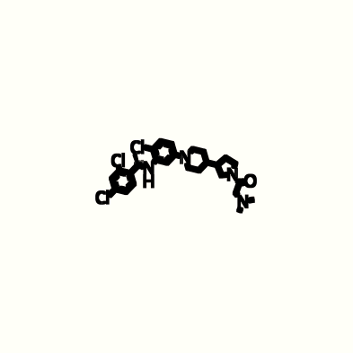 C[C@@H](Nc1cc(N2CCC(C3CCN(C(=O)CN(C)C)C3)CC2)ccc1Cl)c1ccc(Cl)cc1Cl